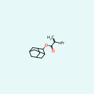 C=C(CCC)C(=O)OC1C2CC3CC(C2)CC1C3